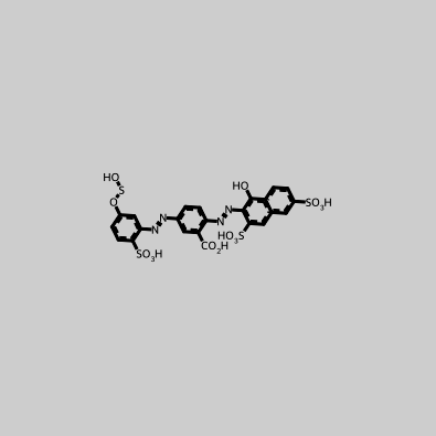 O=C(O)c1cc(/N=N/c2cc(OSO)ccc2S(=O)(=O)O)ccc1/N=N/c1c(S(=O)(=O)O)cc2cc(S(=O)(=O)O)ccc2c1O